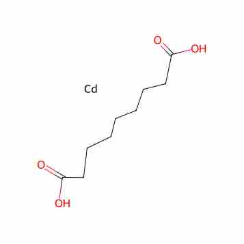 O=C(O)CCCCCCCC(=O)O.[Cd]